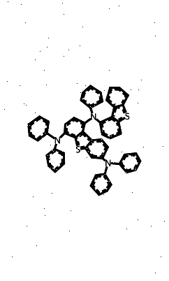 c1ccc(N(c2ccccc2)c2ccc3c(c2)sc2c(N(c4ccccc4)c4ccccc4)ccc(N(c4ccccc4)c4cccc5sc6ccccc6c45)c23)cc1